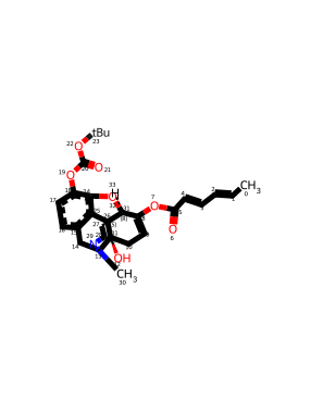 CC=CC=CC(=O)OC1=CC[C@]2(O)C3Cc4ccc(OC(=O)OC(C)(C)C)c5c4[C@@]2(CCN3C)[C@H]1O5